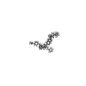 N#Cc1ccc(Cn2cncc2CN(C(=O)CCC2CCCC2)c2ccc3sc(C(=O)NCc4cccs4)cc3c2)cc1